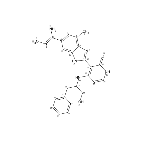 CN=C(N)c1cc(C)c2nc(-c3c(NC(CO)Cc4ccccc4)cc[nH]c3=O)[nH]c2c1